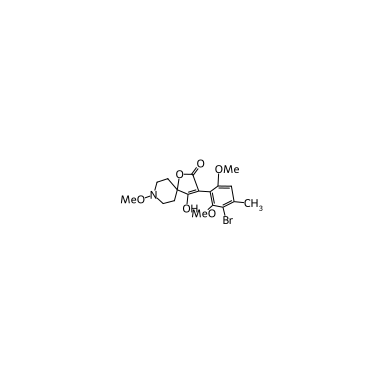 COc1cc(C)c(Br)c(OC)c1C1=C(O)C2(CCN(OC)CC2)OC1=O